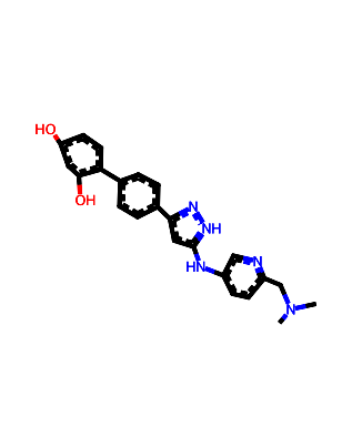 CN(C)Cc1ccc(Nc2cc(-c3ccc(-c4ccc(O)cc4O)cc3)n[nH]2)cn1